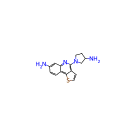 Nc1ccc2c(c1)nc(N1CCC(N)C1)c1ccsc12